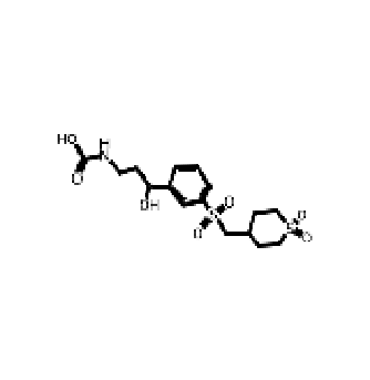 O=C(O)NCCC(O)c1cccc(S(=O)(=O)CC2CCS(=O)(=O)CC2)c1